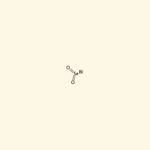 O=[Se]=O.[Bi]